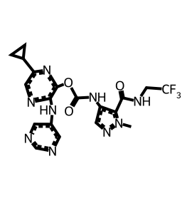 Cn1ncc(NC(=O)Oc2nc(C3CC3)cnc2Nc2cncnc2)c1C(=O)NCC(F)(F)F